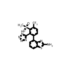 CS(=O)(=O)c1c(C(F)(F)F)ccc(-c2cccc3sc(N)nc23)c1-c1nnn[nH]1